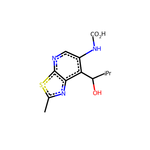 Cc1nc2c(C(O)C(C)C)c(NC(=O)O)cnc2s1